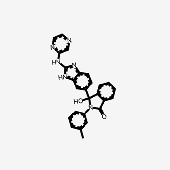 Cc1cccc(N2C(=O)c3ccccc3C2(O)c2ccc3nc(Nc4cnccn4)[nH]c3c2)c1